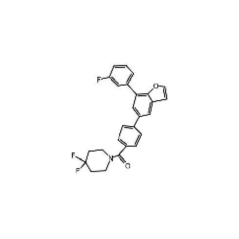 O=C(c1ccc(-c2cc(-c3cccc(F)c3)c3occc3c2)cc1)N1CCC(F)(F)CC1